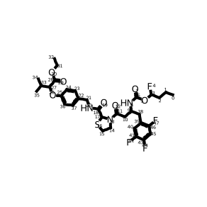 CCCC(F)OC(=O)NC(CC(=O)N1CCSC1C(=O)NCc1ccc(OC(C(=O)OCC)C(C)C)cc1)Cc1cc(F)c(F)cc1F